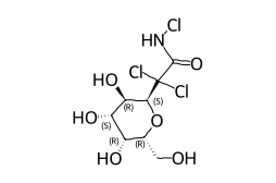 O=C(NCl)C(Cl)(Cl)[C@H]1O[C@H](CO)[C@H](O)[C@H](O)[C@H]1O